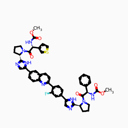 COC(=O)N[C@@H](C(=O)N1CCC[C@H]1c1ncc(-c2ccc(-c3ccc4cc(-c5cnc([C@@H]6CCCN6C(=O)[C@H](NC(=O)OC)c6ccsc6)[nH]5)ccc4n3)c(F)c2)[nH]1)c1ccccc1